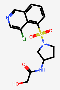 O=C(CO)NC1CCN(S(=O)(=O)c2cccc3cncc(Cl)c23)C1